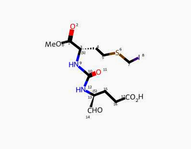 COC(=O)[C@H](CCSCI)NC(=O)N[C@H](C=O)CCC(=O)O